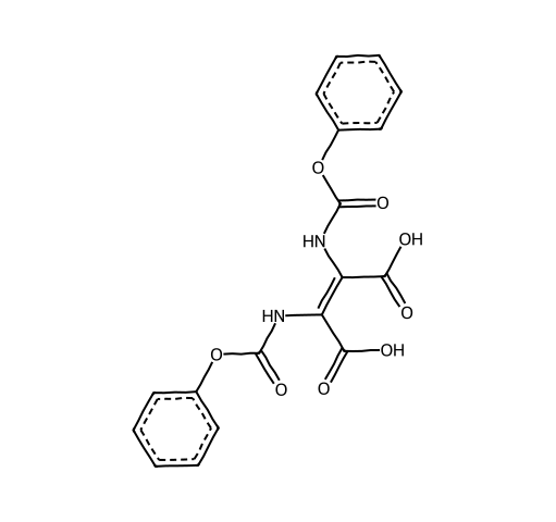 O=C(NC(C(=O)O)=C(NC(=O)Oc1ccccc1)C(=O)O)Oc1ccccc1